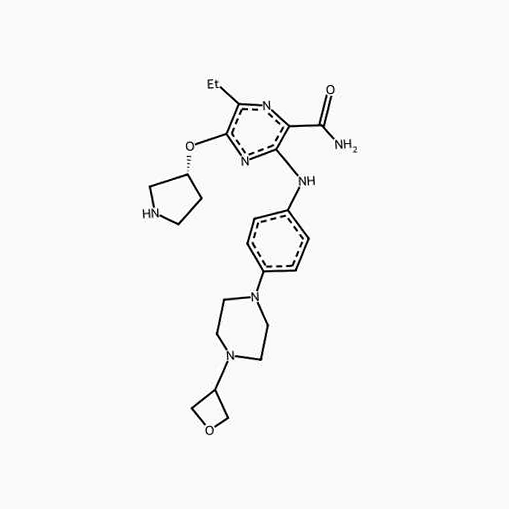 CCc1nc(C(N)=O)c(Nc2ccc(N3CCN(C4COC4)CC3)cc2)nc1O[C@@H]1CCNC1